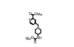 COC(=O)c1cc(CN2CCC(NC(=O)OC(C)(C)C)CC2)ccn1